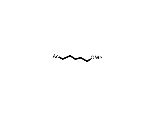 COCCCCCC(C)=O